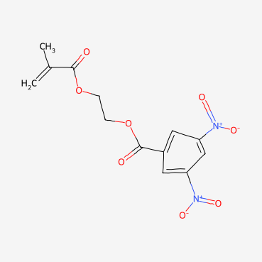 C=C(C)C(=O)OCCOC(=O)c1cc([N+](=O)[O-])cc([N+](=O)[O-])c1